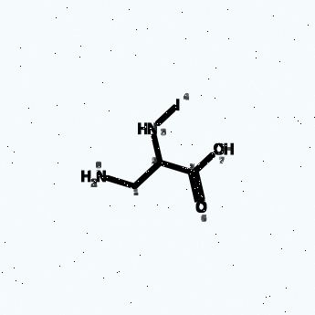 NCC(NI)C(=O)O